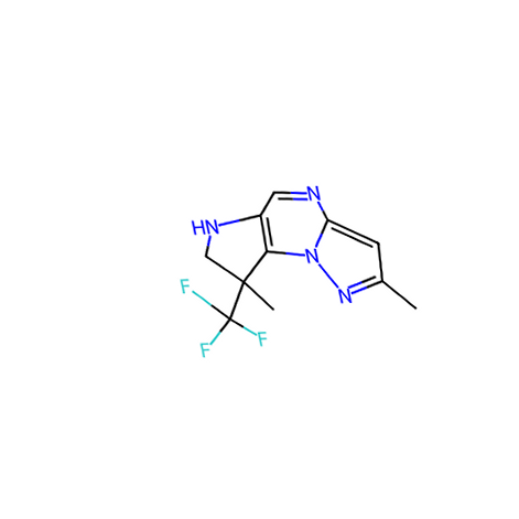 Cc1cc2ncc3c(n2n1)C(C)(C(F)(F)F)CN3